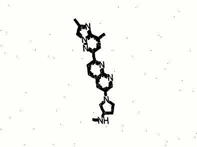 CNC1CCN(c2cnc3nc(-c4cc(C)c5nc(C)cn5n4)ccc3c2)C1